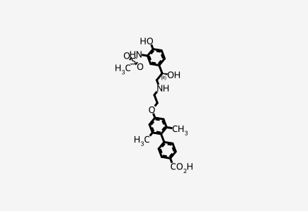 Cc1cc(OCCNC[C@H](O)c2ccc(O)c(NS(C)(=O)=O)c2)cc(C)c1-c1ccc(C(=O)O)cc1